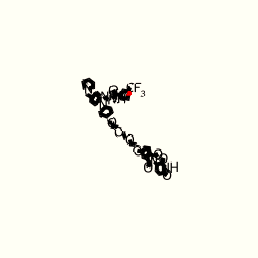 O=C1CCC(N2C(=O)c3ccc(OCCOCCOCCOC[C@H]4CC[C@@H](N5c6ccc(CN7CCCCC7)cc6NC5NC(=O)c5cccc(C(F)(F)F)c5)CC4)cc3C2=O)C(=O)N1